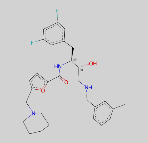 Cc1cccc(CNC[C@@H](O)[C@H](Cc2cc(F)cc(F)c2)NC(=O)c2ccc(CN3CCCCC3)o2)c1